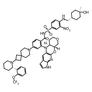 C[C@]1(O)CC[C@H](CNc2ccc(S(=O)(=O)NC(=O)c3ccc(N4CCC5(CC4)CC(N4CCCC[C@H]4c4ccccc4OC(F)(F)F)C5)cc3N3c4cc5cc[nH]c5nc4O[C@H]4COCC[C@@H]43)cc2[N+](=O)[O-])CC1